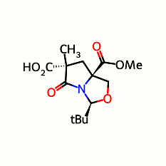 COC(=O)[C@@]12CO[C@@H](C(C)(C)C)N1C(=O)[C@](C)(C(=O)O)C2